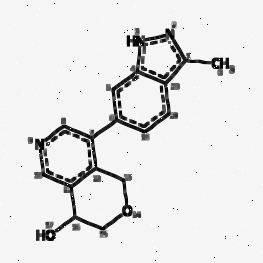 Cc1n[nH]c2cc(-c3cncc4c3COCC4O)ccc12